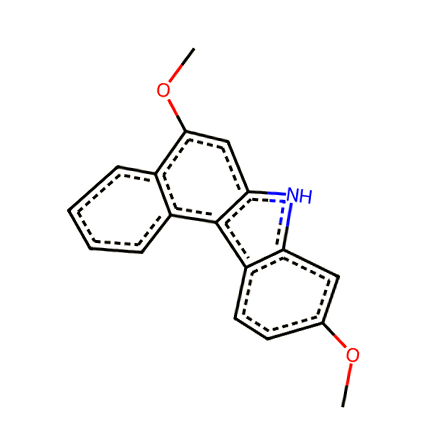 COc1ccc2c(c1)[nH]c1cc(OC)c3ccccc3c12